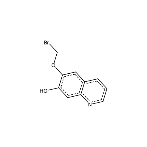 Oc1cc2ncccc2cc1OCBr